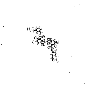 CCc1cccc(COC(=O)c2c(Cl)c(Cl)cc(Cl)c2OC(=O)C(=O)Oc2c(Cl)cc(Cl)c(Cl)c2C(=O)OCc2cccc(CC)c2)c1